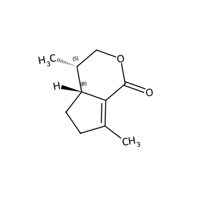 CC1=C2C(=O)OC[C@@H](C)[C@H]2CC1